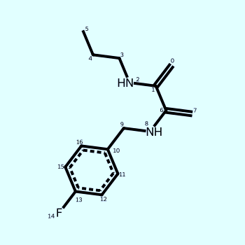 C=C(NCCC)C(=C)NCc1ccc(F)cc1